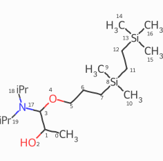 CC(O)C(OCCC[Si](C)(C)CC[Si](C)(C)C)N(C(C)C)C(C)C